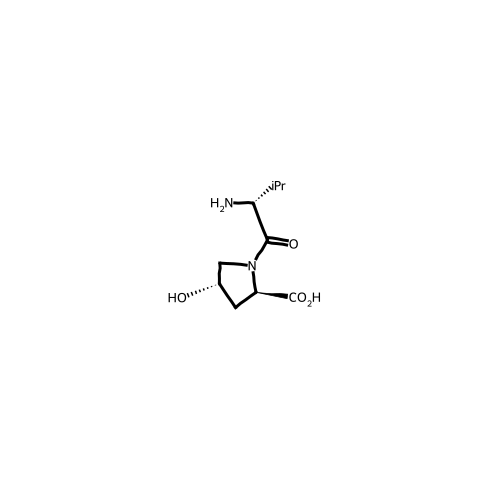 CC(C)[C@@H](N)C(=O)N1C[C@@H](O)C[C@@H]1C(=O)O